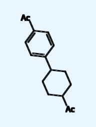 CC(=O)c1ccc(C2CCC(C(C)=O)CC2)cc1